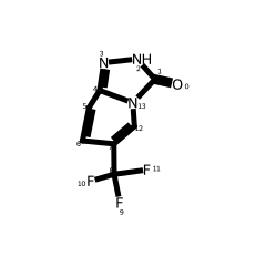 O=c1[nH]nc2ccc(C(F)(F)F)cn12